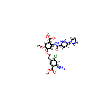 COC(=O)c1cc(CCOc2cc(NC(=O)c3ccc(-n4ccnc4)nn3)c(C(=O)OC)cc2OC)c(Cl)cc1N